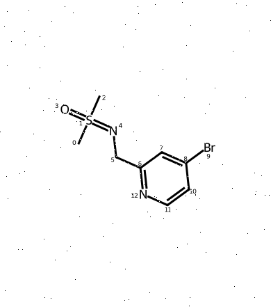 CS(C)(=O)=NCc1cc(Br)ccn1